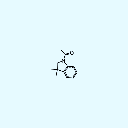 CC(=O)N1CC(C)(C)c2ccccc21